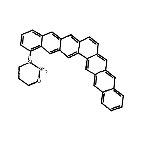 c1ccc2cc3cc4c(ccc5cc6cc7cccc([SiH]8CCCO[SiH2]8)c7cc6cc54)cc3cc2c1